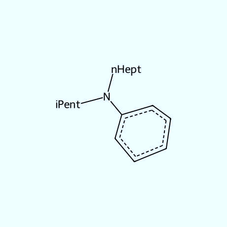 CCCCCCCN(c1ccccc1)C(C)CCC